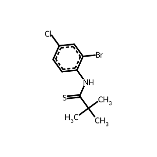 CC(C)(C)C(=S)Nc1ccc(Cl)cc1Br